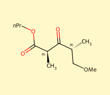 CCCOC(=O)[C@H](C)C(=O)[C@H](C)COC